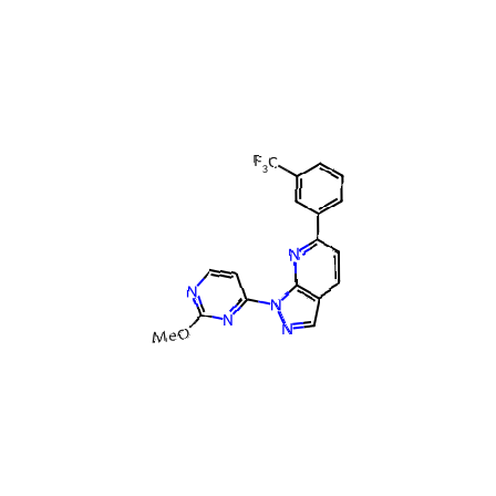 COc1nccc(-n2ncc3ccc(-c4cccc(C(F)(F)F)c4)nc32)n1